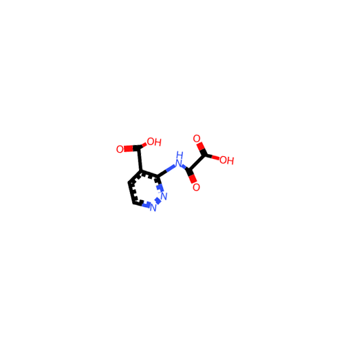 O=C(O)C(=O)Nc1nnccc1C(=O)O